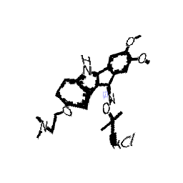 C#CC(C)(C)O/N=C1/c2cc(OC)c(OC)cc2-c2[nH]c3ccc(OCCN(C)C)cc3c21.Cl